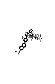 Cc1ccc2cc(-c3ccc(-c4cnc([C@@H]5CCCN5C(=O)OC(C)(C)C)[nH]4)c(F)c3)ccc2c1